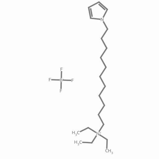 CC[N+](CC)(CC)CCCCCCCCCCCn1cccc1.F[B-](F)(F)F